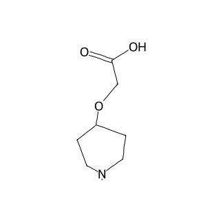 O=C(O)COC1CC[N]CC1